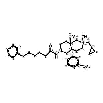 COC12CC[C@@H](NC(=O)CCCCCc3ccccc3)C[C@]1(c1cccc(OC(C)=O)c1)CC[N@+](C)(CC1CC1)C2